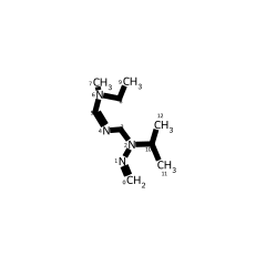 C=NN(C/N=C\N(C)CC)C(C)C